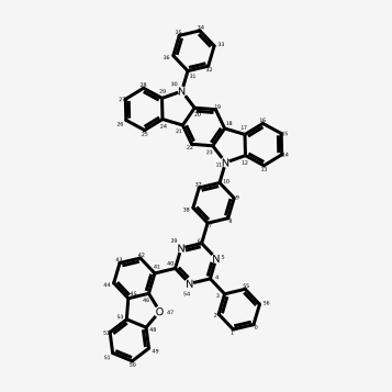 c1ccc(-c2nc(-c3ccc(-n4c5ccccc5c5cc6c(cc54)c4ccccc4n6-c4ccccc4)cc3)nc(-c3cccc4c3oc3ccccc34)n2)cc1